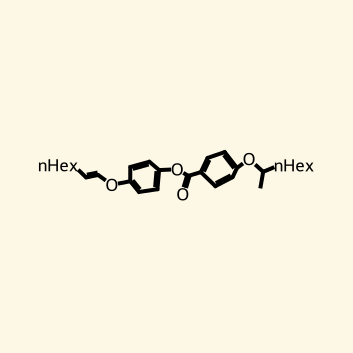 CCCCCCC=COc1ccc(OC(=O)c2ccc(OC(C)CCCCCC)cc2)cc1